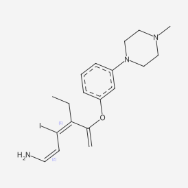 C=C(Oc1cccc(N2CCN(C)CC2)c1)/C(CC)=C(I)\C=C/N